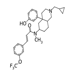 CN(C(=O)/C=C/c1cccc(OC(F)(F)F)c1)C1CCC2CN(CC3CC3)CCC2(c2cccc(O)c2)C1